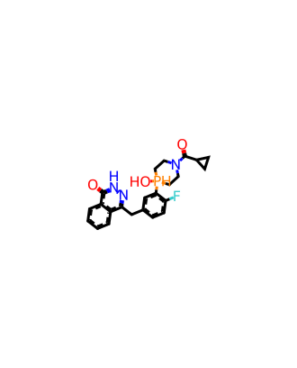 O=C(C1CC1)N1CC[PH](O)(c2cc(Cc3n[nH]c(=O)c4ccccc34)ccc2F)CC1